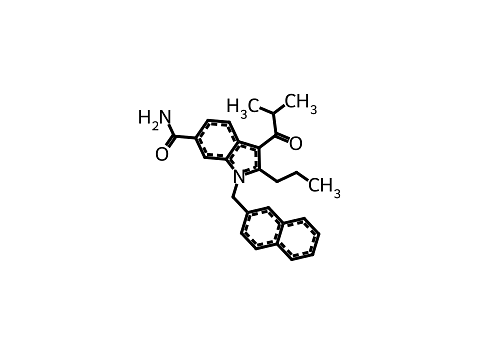 CCCc1c(C(=O)C(C)C)c2ccc(C(N)=O)cc2n1Cc1ccc2ccccc2c1